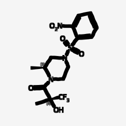 C[C@H]1CN(S(=O)(=O)c2ccccc2[N+](=O)[O-])CCN1C(=O)[C@@](C)(O)C(F)(F)F